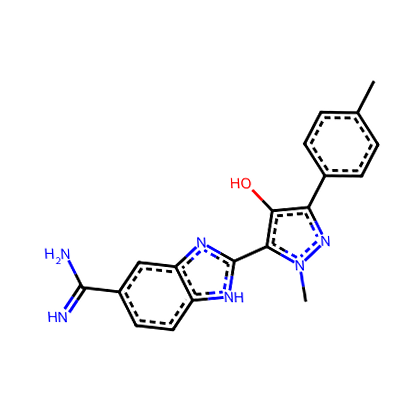 Cc1ccc(-c2nn(C)c(-c3nc4cc(C(=N)N)ccc4[nH]3)c2O)cc1